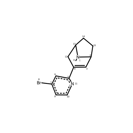 CN1C2C=C(c3cc(Br)ccn3)CC1CC2